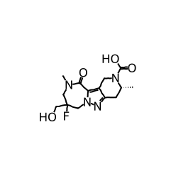 C[C@@H]1Cc2nn3c(c2CN1C(=O)O)C(=O)N(C)CC(F)(CO)C3